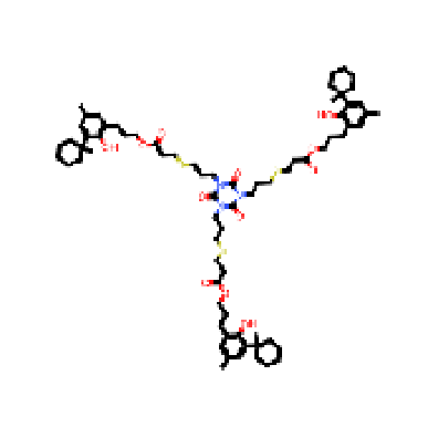 Cc1cc(CCCOC(=O)CCSCCCn2c(=O)n(CCCSCCC(=O)OCCCc3cc(C)cc(C4(C)CCCCC4)c3O)c(=O)n(CCCSCCC(=O)OCCCc3cc(C)cc(C4(C)CCCCC4)c3O)c2=O)c(O)c(C2(C)CCCCC2)c1